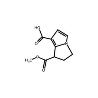 COC(=O)C1CCn2ccc(C(=O)O)c21